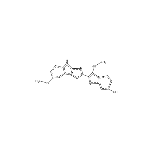 CNc1c(-c2cn3c(n2)[nH]c2ccc(OC)cc23)nc2cc(O)ccn12